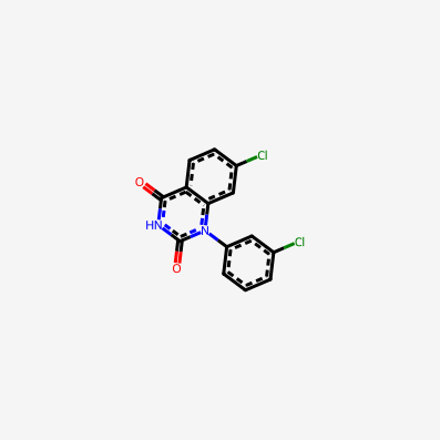 O=c1[nH]c(=O)n(-c2cccc(Cl)c2)c2cc(Cl)ccc12